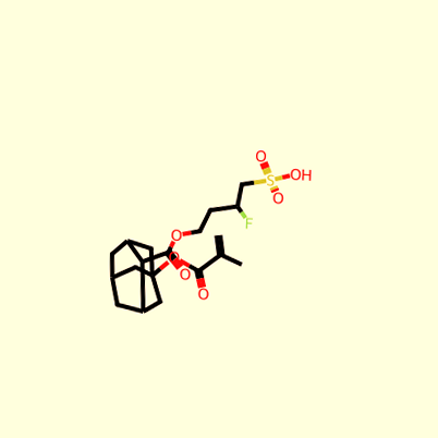 C=C(C)C(=O)OC12CC3CC(C1)C(C(=O)OCCC(F)CS(=O)(=O)O)C(C3)C2